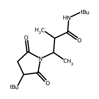 CC(C(=O)NC(C)(C)C)C(C)N1C(=O)CC(C(C)(C)C)C1=O